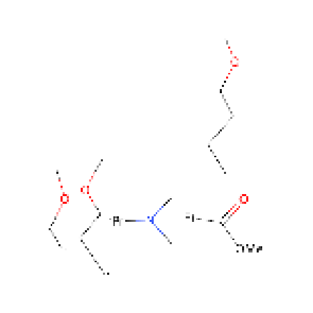 [CH2]CC(=O)OC.[CH2]CCCOC.[CH2]CCN(C)C.[CH2]CCOC.[CH2]COC